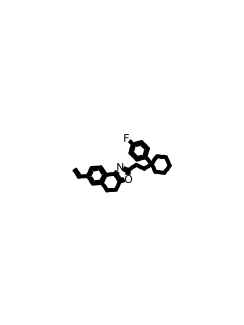 C=Cc1ccc2c(c1)CCc1oc(CCC3(c4ccc(F)cc4)CCCCC3)nc1-2